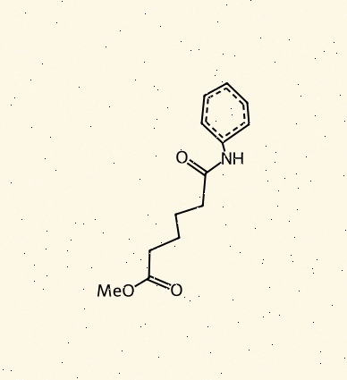 COC(=O)CCCCC(=O)Nc1ccccc1